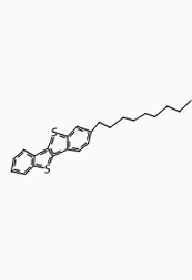 CCCCCCCCCc1ccc2c(c1)sc1c3ccccc3sc21